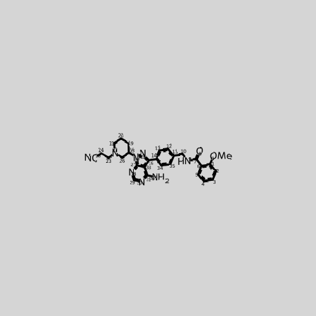 COc1ccccc1C(=O)NCc1ccc(-c2nn(C3CCCN(CCC#N)C3)c3ncnc(N)c23)cc1